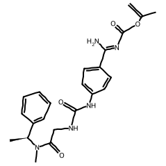 C=C(C)OC(=O)/N=C(\N)c1ccc(NC(=O)NCC(=O)N(C)[C@@H](C)c2ccccc2)cc1